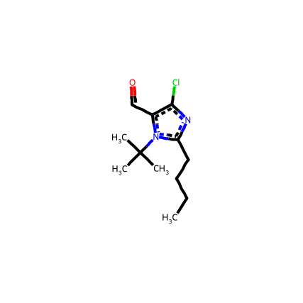 CCCCc1nc(Cl)c(C=O)n1C(C)(C)C